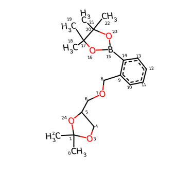 CC1(C)OCC(COCc2ccccc2B2OC(C)(C)C(C)(C)O2)O1